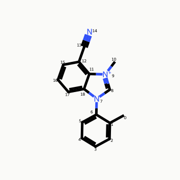 Cc1ccccc1-n1c[n+](C)c2c(C#N)cccc21